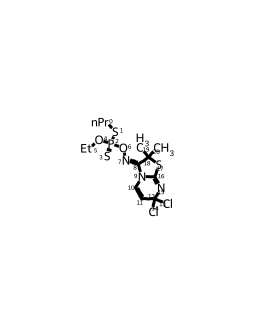 CCCSP(=S)(OCC)ON=C1N2C=CC(Cl)(Cl)N=C2SC1(C)C